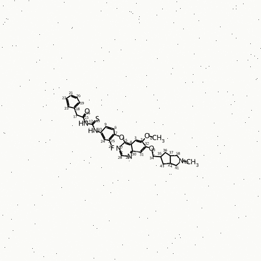 COc1cc2c(Oc3ccc(NC(=S)NC(=O)Cc4ccccc4)cc3F)ncnc2cc1OCC1CC2CN(C)CC2C1